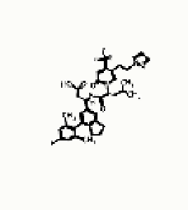 Cc1cc(F)cc(C)c1-c1cc([C@@H](CC(=O)O)NC(=O)[C@@H](CC(C)C)n2cc(CCn3cccn3)c(C(F)(F)F)cc2=O)cc2c1CCC2